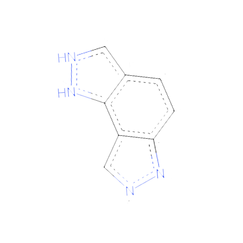 c1cc2nncc2c2[nH][nH]cc12